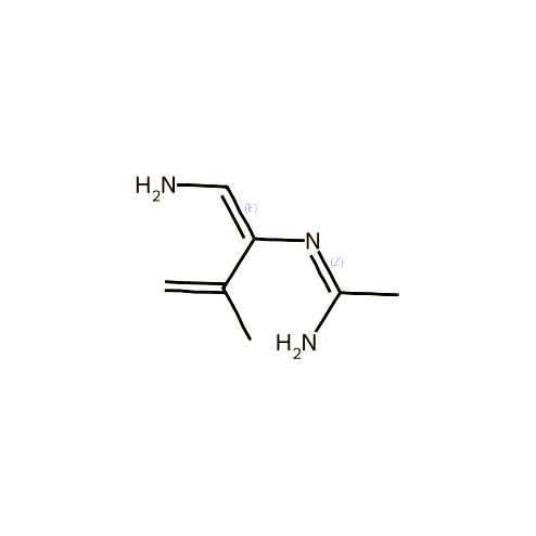 C=C(C)C(=C\N)/N=C(/C)N